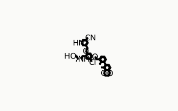 Cc1c(COc2cc(OCC3=CC(C#N)=CNC3)c(CN[C@@H](C)CO)cc2Cl)cccc1-c1ccc2c(c1C)OCCO2